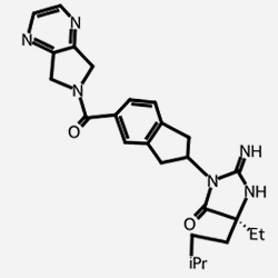 CC[C@@]1(CCC(C)C)NC(=N)N(C2Cc3ccc(C(=O)N4Cc5nccnc5C4)cc3C2)C1=O